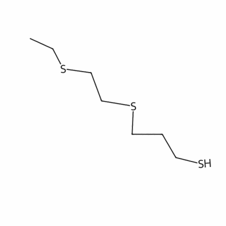 CCSCCSCCCS